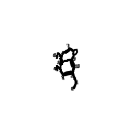 CCc1cnc2ncoc2c1